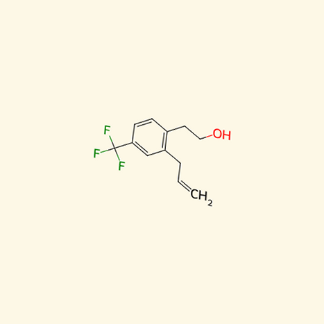 C=CCc1cc(C(F)(F)F)ccc1CCO